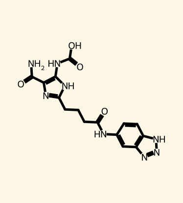 NC(=O)c1nc(CCCC(=O)Nc2ccc3[nH]nnc3c2)[nH]c1NC(=O)O